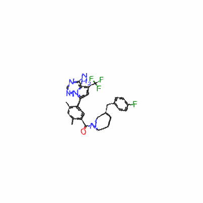 Cc1cc(C)c(-c2cc(C(F)(F)F)c3c(N)ncnn23)cc1C(=O)N1CCC[C@H](Cc2ccc(F)cc2)C1